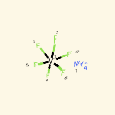 [F][V-]([F])([F])([F])([F])[F].[NH4+]